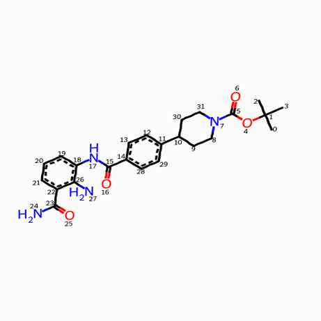 CC(C)(C)OC(=O)N1CCC(c2ccc(C(=O)Nc3cccc(C(N)=O)c3N)cc2)CC1